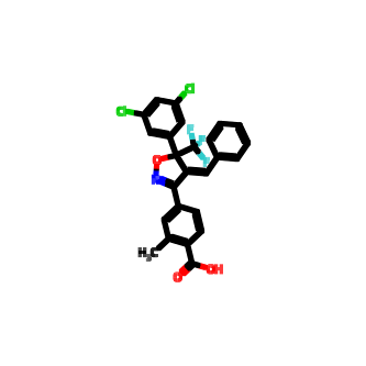 Cc1cc(C2=NOC(c3cc(Cl)cc(Cl)c3)(C(F)(F)F)/C2=C\c2ccccc2)ccc1C(=O)O